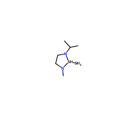 CC(C)N1CCN(C)[SiH]1[SiH3]